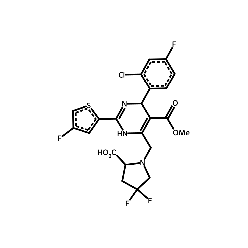 COC(=O)C1=C(CN2CC(F)(F)CC2C(=O)O)NC(c2cc(F)cs2)=NC1c1ccc(F)cc1Cl